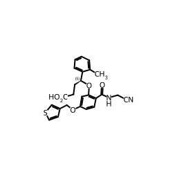 Cc1ccccc1[C@H](CCC(=O)O)Oc1cc(OCc2ccsc2)ccc1C(=O)NCC#N